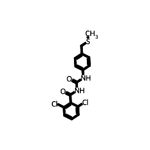 CSCc1ccc(NC(=O)NC(=O)c2c(Cl)cccc2Cl)cc1